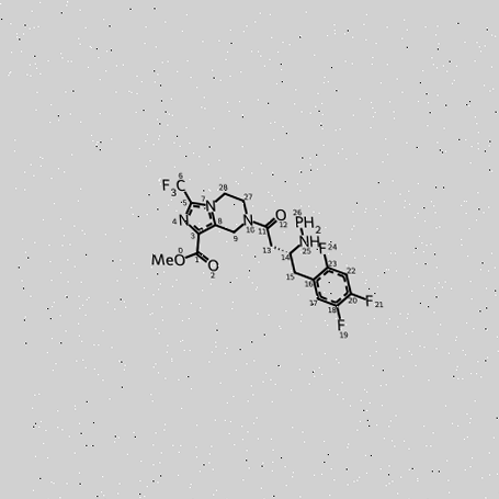 COC(=O)c1nc(C(F)(F)F)n2c1CN(C(=O)C[C@@H](Cc1cc(F)c(F)cc1F)NP)CC2